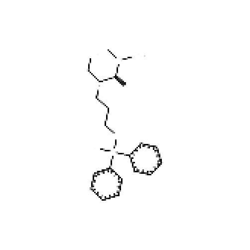 CON(C)C(=O)[C@@H](CCCO[Si](c1ccccc1)(c1ccccc1)C(C)(C)C)CC(=O)O